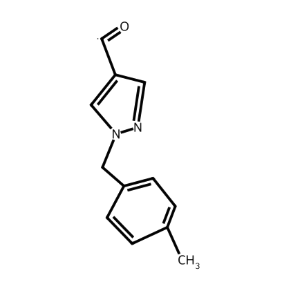 Cc1ccc(Cn2cc([C]=O)cn2)cc1